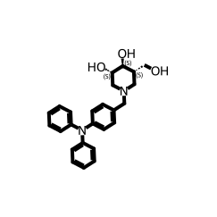 OC[C@@H]1CN(Cc2ccc(N(c3ccccc3)c3ccccc3)cc2)C[C@H](O)[C@H]1O